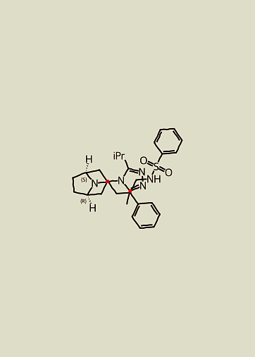 Cc1nnc(C(C)C)n1C1C[C@H]2CC[C@@H](C1)N2CCC(CNS(=O)(=O)c1ccccc1)c1ccccc1